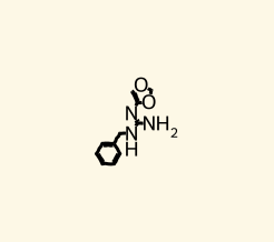 NC(=NC1=COCO1)NCc1ccccc1